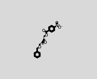 O=C(OC[C@@H]1O[C@@H]1COCc1ccccc1)c1ccc([N+](=O)[O-])cc1